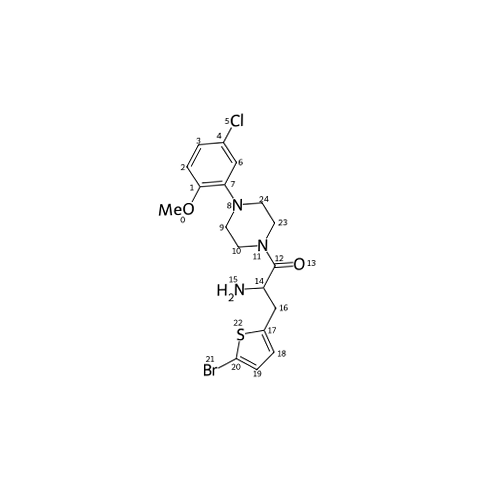 COc1ccc(Cl)cc1N1CCN(C(=O)C(N)Cc2ccc(Br)s2)CC1